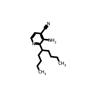 CCCCC(CCCC)c1nccc(C#N)c1N